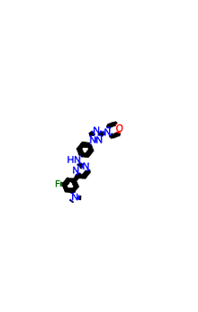 CN(C)c1cc(F)cc(-c2ccnc(Nc3ccc(-n4cnc(N5CCOCC5)n4)cc3)n2)c1